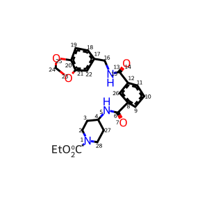 CCOC(=O)N1CCC(NC(=O)c2cccc(C(=O)NCc3ccc4c(c3)OCO4)c2)CC1